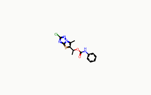 Cc1c(C(C)OC(=O)Nc2ccccc2)sc2nc(Cl)nn12